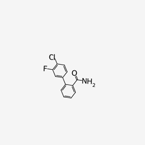 NC(=O)c1ccccc1-c1ccc(Cl)c(F)c1